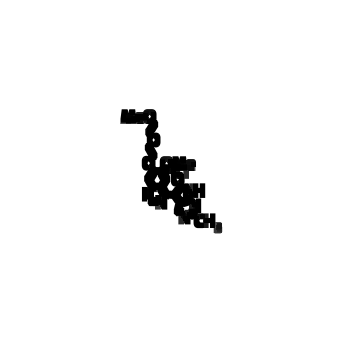 COCCOCCOc1cc2ncnc(C3C(=O)Nc4nc(C)ncc43)c2cc1OC.Cl